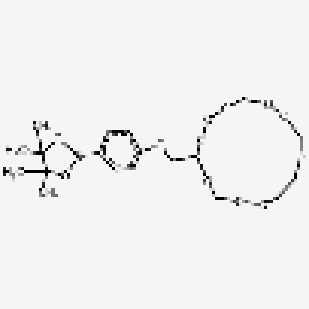 CC1(C)OB(c2ccc(OCC3COCCOCCOCCOCCO3)cc2)OC1(C)C